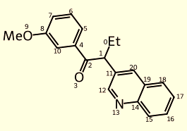 CCC(C(=O)c1cccc(OC)c1)c1cnc2ccccc2c1